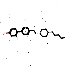 CCCCC[C@H]1CC[C@H](CCc2ccc(-c3ccc(Br)cc3F)cc2)CC1